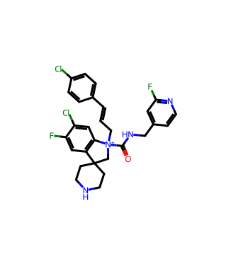 O=C(NCc1ccnc(F)c1)[N+]1(C/C=C/c2ccc(Cl)cc2)CC2(CCNCC2)c2cc(F)c(Cl)cc21